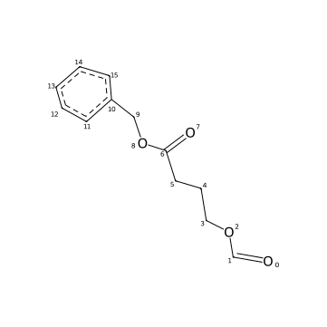 O=COCCCC(=O)OCc1ccccc1